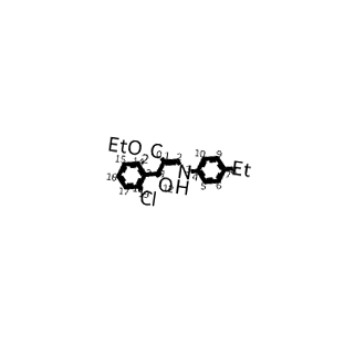 CCOC(=O)C(=CNc1ccc(CC)cc1)C(=O)c1ccccc1Cl